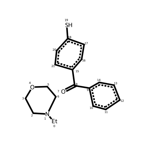 CCN1CCOCC1.O=C(c1ccccc1)c1ccc(S)cc1